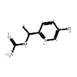 CC(OC(N)=O)c1ccc(Cl)cn1